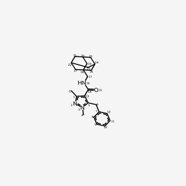 Cc1nn(C)c(Cc2ccccc2)c1C(=O)NCC12CC3CC(CC(C3)C1)C2